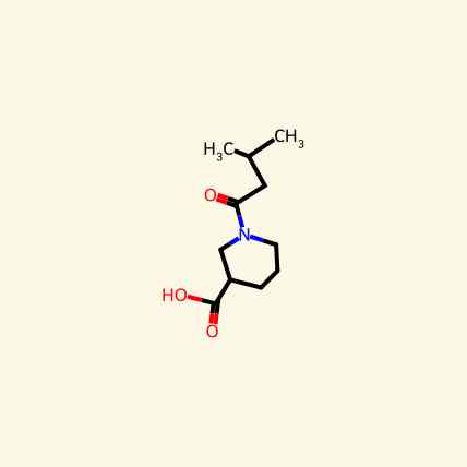 CC(C)CC(=O)N1CCCC(C(=O)O)C1